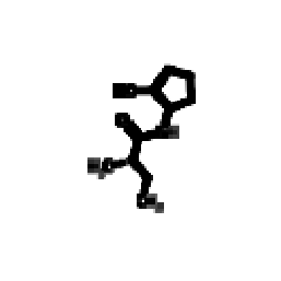 CC[C@H](C)C(=O)NC1CCCC1O